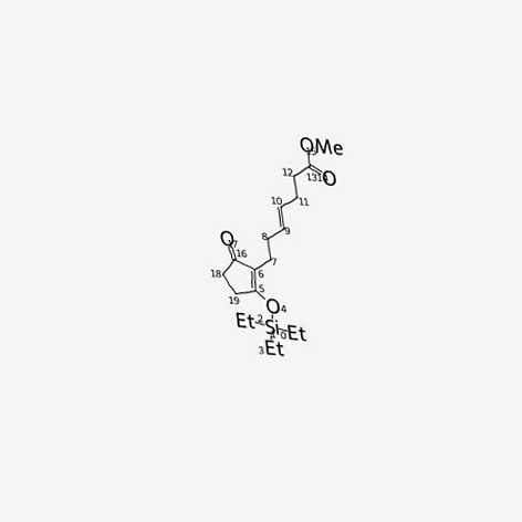 CC[Si](CC)(CC)OC1=C(CCC=CCCC(=O)OC)C(=O)CC1